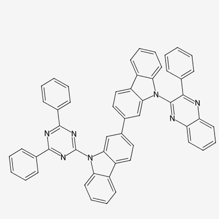 c1ccc(-c2nc(-c3ccccc3)nc(-n3c4ccccc4c4ccc(-c5ccc6c7ccccc7n(-c7nc8ccccc8nc7-c7ccccc7)c6c5)cc43)n2)cc1